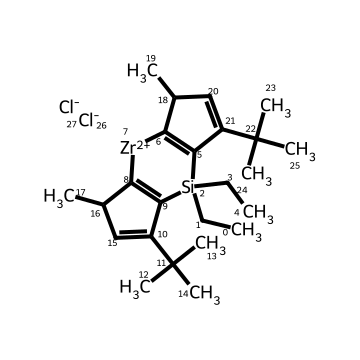 CC[Si]1(CC)C2=[C]([Zr+2][C]3=C1C(C(C)(C)C)=CC3C)C(C)C=C2C(C)(C)C.[Cl-].[Cl-]